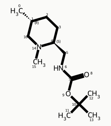 C[C@@H]1CC[C@@H](CNC(=O)OC(C)(C)C)N(C)C1